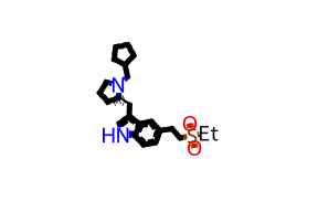 CCS(=O)(=O)CCc1ccc2[nH]cc(C[C@H]3CCCN3CC3CCCC3)c2c1